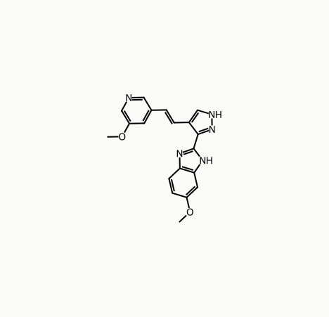 COc1cncc(C=Cc2c[nH]nc2-c2nc3ccc(OC)cc3[nH]2)c1